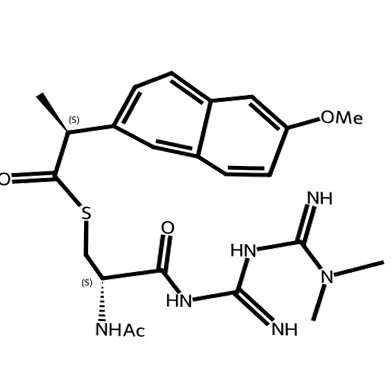 COc1ccc2cc([C@H](C)C(=O)SC[C@@H](NC(C)=O)C(=O)NC(=N)NC(=N)N(C)C)ccc2c1